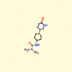 CN(C)C(=O)Nc1ccc(-c2c[nH]c(=O)cn2)cc1